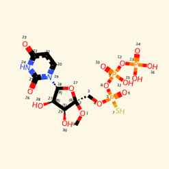 CO[C@]1(COP(=O)(S)OP(=O)(O)OP(=O)(O)O)O[C@@H](n2ccc(=O)[nH]c2=O)[C@H](O)[C@@H]1O